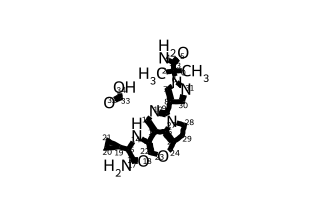 CC(C)(C(N)=O)n1cc(C2=NC=C3C(NC(C(N)=O)C4CC4)=COCC4=C3N2CC4)cn1.O=CO